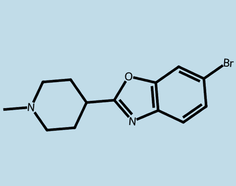 CN1CCC(c2nc3ccc(Br)cc3o2)CC1